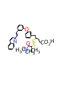 CC(SSC(CCC(=O)O)Cc1cccc(Oc2cccc(/C=C/c3ccc4ccccc4n3)c2)c1)C(=O)N(C)C